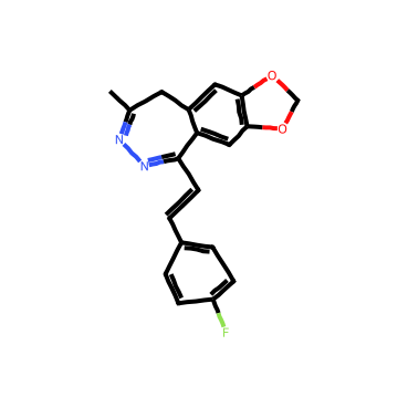 CC1=NN=C(C=Cc2ccc(F)cc2)c2cc3c(cc2C1)OCO3